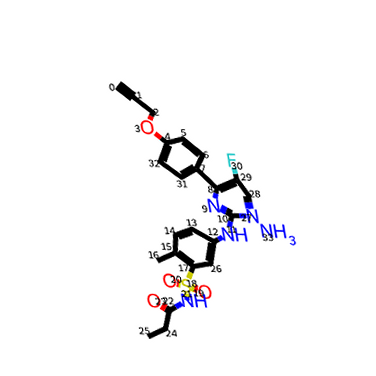 C#CCOc1ccc(-c2nc(Nc3ccc(C)c(S(=O)(=O)NC(=O)CC)c3)ncc2F)cc1.N